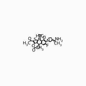 COc1c(N2CC[C@@H]([C@H](C)N)C2)c(F)cc2c(=O)c3c(OC(C)=O)c(C(C)=O)sc3n(C3CC3)c12